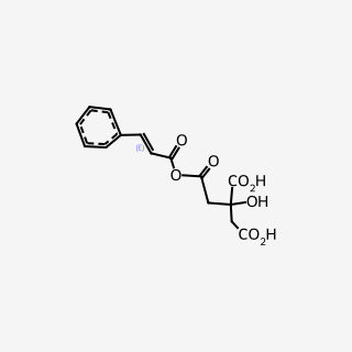 O=C(O)CC(O)(CC(=O)OC(=O)/C=C/c1ccccc1)C(=O)O